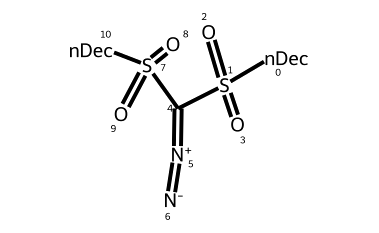 CCCCCCCCCCS(=O)(=O)C(=[N+]=[N-])S(=O)(=O)CCCCCCCCCC